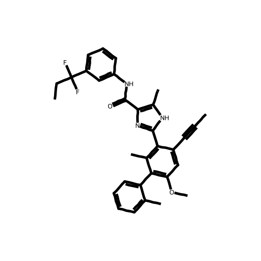 CC#Cc1cc(OC)c(-c2ccccc2C)c(C)c1-c1nc(C(=O)Nc2cccc(C(F)(F)CC)c2)c(C)[nH]1